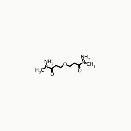 CN(N)C(=O)CCOCCC(=O)N(C)N